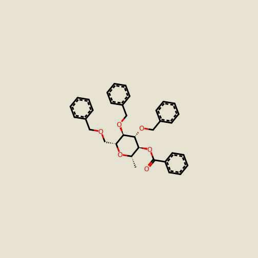 C[C@@H]1O[C@H](COCc2ccccc2)[C@@H](OCc2ccccc2)[C@H](OCc2ccccc2)[C@H]1OC(=O)c1ccccc1